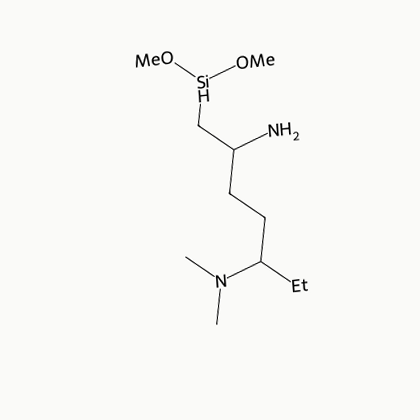 CCC(CCC(N)C[SiH](OC)OC)N(C)C